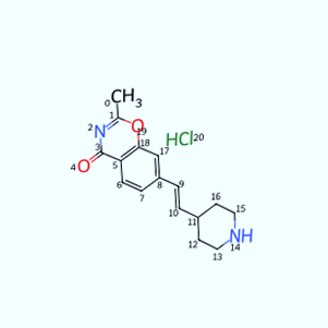 Cc1nc(=O)c2ccc(C=CC3CCNCC3)cc2o1.Cl